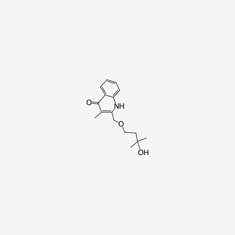 Cc1c(COCCC(C)(C)O)[nH]c2ccccc2c1=O